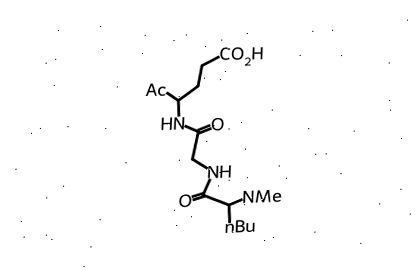 CCCCC(NC)C(=O)NCC(=O)NC(CCC(=O)O)C(C)=O